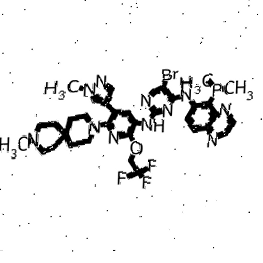 CN1CCC2(CC1)CCN(c1nc(OCC(F)(F)F)c(Nc3ncc(Br)c(Nc4ccc5nccnc5c4P(C)C)n3)cc1-c1cnn(C)c1)CC2